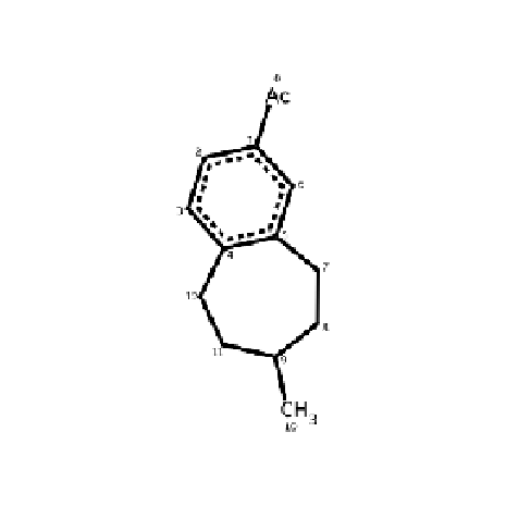 CC(=O)c1ccc2c(c1)CCC(C)CC2